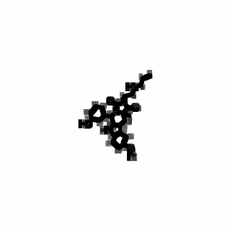 C=CCNCCN1C(=O)N2C(c3cccc(O)c3)c3[nH]c4ccc(OCC)cc4c3CC2(C)C1=O